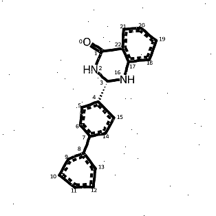 O=C1N[C@@H](c2ccc(-c3ccccc3)cc2)Nc2ccccc21